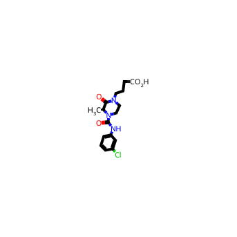 C[C@H]1C(=O)N(CCCC(=O)O)CCN1C(=O)Nc1cccc(Cl)c1